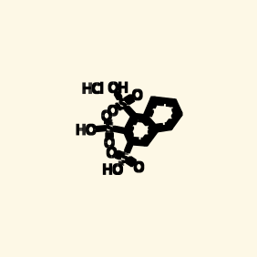 Cl.O=S(=O)(O)c1cc2ccccc2c(S(=O)(=O)O)c1S(=O)(=O)O